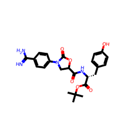 CC(C)(C)OC(=O)[C@@H](Cc1ccc(O)cc1)NC(=O)C1CN(c2ccc(C(=N)N)cc2)C(=O)O1